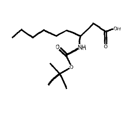 CCCCCCC(CC(=O)O)NC(=O)OC(C)(C)C